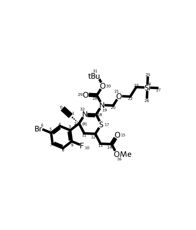 C#C[C@@]1(c2cc(Br)ccc2F)CC(CC(=O)OC)SC(N(COCC[Si](C)(C)C)C(=O)OC(C)(C)C)=N1